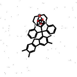 Cc1cc2c(cc1C)-c1cc(C)c(C)c(C(C3=CC=CC3)(c3ccccc3N3CCOCC3)c3ccccc3N3CCOCC3)c1C2